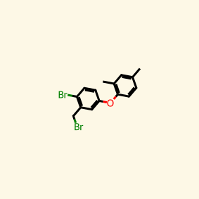 Cc1ccc(Oc2ccc(Br)c(CBr)c2)c(C)c1